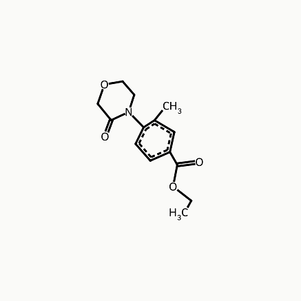 CCOC(=O)c1ccc(N2CCOCC2=O)c(C)c1